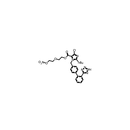 CCCCc1nc(Cl)c(C(=O)OCCOCCO[N+](=O)[O-])n1Cc1ccc(-c2ccccc2-c2nn[nH]n2)cc1